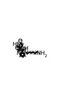 Cc1nc2cccc(NCCCCCCN)c2c(=O)n1C1CCC(=O)NC1=O